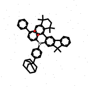 CC1(C)CCC(C)(C)c2c(-c3cc4c(cc3N(c3ccc(-c5ccccc5)cc3)c3ccc(C56CC7CC(CC(C7)C5)C6)cc3)C(C)(C)c3ccccc3-4)cccc21